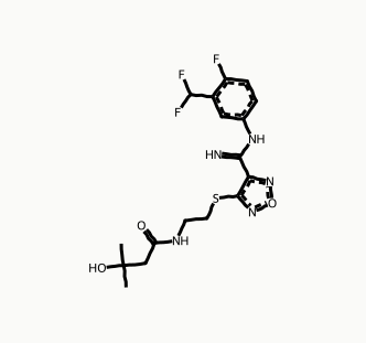 CC(C)(O)CC(=O)NCCSc1nonc1C(=N)Nc1ccc(F)c(C(F)F)c1